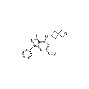 Cc1nn(-c2ccccc2)c2nc(C(=O)O)cc(OC3CC4(COC4)C3)c12